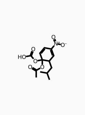 CC(=O)OC1(OC(=O)O)C=CC([N+](=O)[O-])=CC1CC(C)C